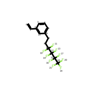 C=Cc1cccc(CCC(F)(F)C(F)(F)C(F)(F)C(F)(F)F)c1